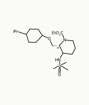 CCOC(=O)N1CCCC(NS(C)(C)(C)=O)[C@@H]1COC1CCC(C(C)C)CC1